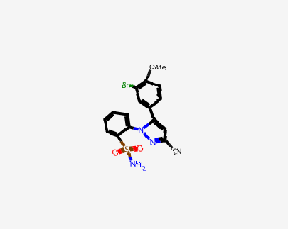 COc1ccc(-c2cc(C#N)nn2-c2ccccc2S(N)(=O)=O)cc1Br